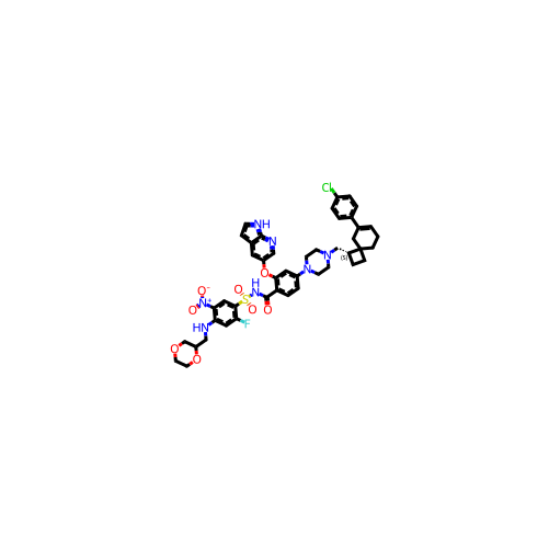 O=C(NS(=O)(=O)c1cc([N+](=O)[O-])c(NCC2COCCO2)cc1F)c1ccc(N2CCN(C[C@H]3CCC34CCC=C(c3ccc(Cl)cc3)C4)CC2)cc1Oc1cnc2[nH]ccc2c1